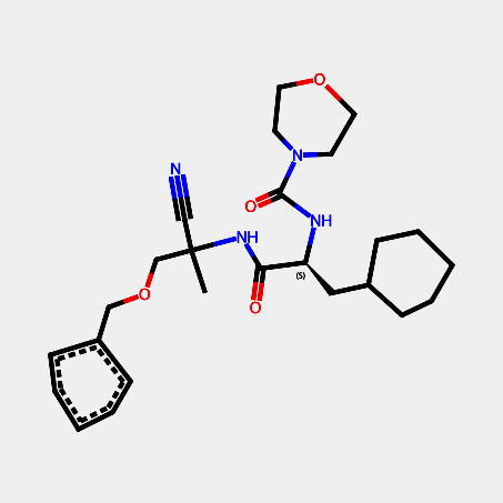 CC(C#N)(COCc1ccccc1)NC(=O)[C@H](CC1CCCCC1)NC(=O)N1CCOCC1